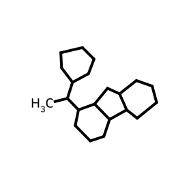 CC(C1CCCCC1)C1CCCC2C3CCCCC3CC12